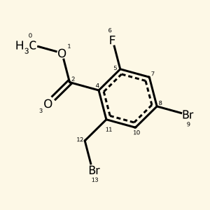 COC(=O)c1c(F)cc(Br)cc1CBr